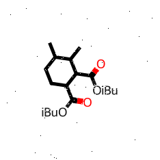 CC(C)COC(=O)C1CCC(C)C(C)C1C(=O)OCC(C)C